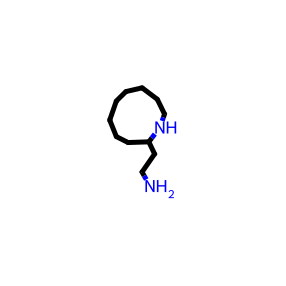 NCCC1CCCCCCCCN1